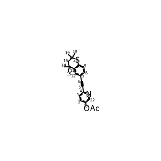 CC(=O)Oc1ccc(C#Cc2ccc3c(c2)C(C)(C)CC(C)(C)S3)nc1